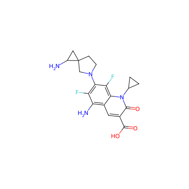 Nc1c(F)c(N2CCC3(CC3N)C2)c(F)c2c1cc(C(=O)O)c(=O)n2C1CC1